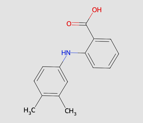 Cc1ccc(Nc2ccccc2C(=O)O)cc1C